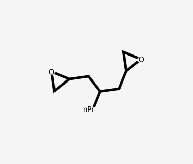 CCCC(CC1CO1)CC1CO1